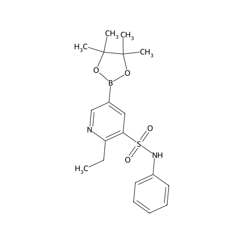 CCc1ncc(B2OC(C)(C)C(C)(C)O2)cc1S(=O)(=O)Nc1ccccc1